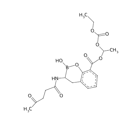 CCOC(=O)OC(C)OC(=O)c1cccc2c1OB(O)C(NC(=O)CCC(C)=O)C2